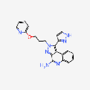 Nc1nc2ccccc2c2c(-c3cc[nH]n3)n(CCCOc3ccccn3)nc12